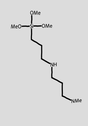 CNCCCNCCC[Si](OC)(OC)OC